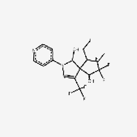 OC1N(c2ccncc2)N=C(C(F)(F)F)C1(C(CI)CI)C(O)C(F)(F)F